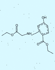 CCOC(=O)CNCc1cc(O)ccc1C(=O)OCC